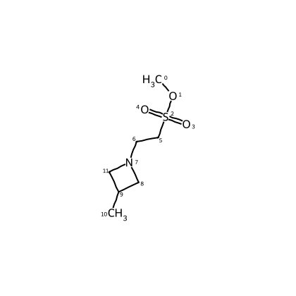 COS(=O)(=O)CCN1CC(C)C1